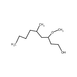 CCCCC(C)CC(CCO)OC